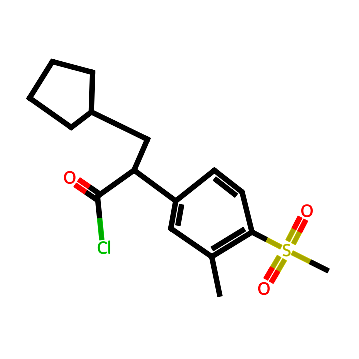 Cc1cc(C(CC2CCCC2)C(=O)Cl)ccc1S(C)(=O)=O